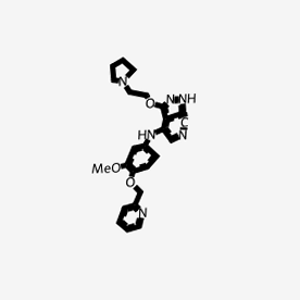 COc1cc(Nc2cncc3[nH]nc(OCCN4CCCC4)c23)ccc1OCc1ccccn1